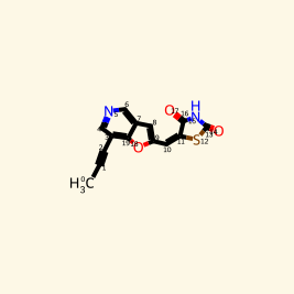 CC#Cc1cncc2cc(/C=C3/SC(=O)NC3=O)oc12